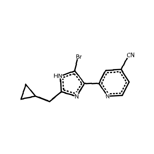 N#Cc1ccnc(-c2nc(CC3CC3)[nH]c2Br)c1